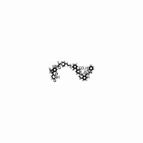 Cc1c(OCCCC2CCN([C@H](C)C(=O)Nc3ccc4c(C5CCC(=O)NC5=O)nn(C)c4c3)CC2)cccc1-c1ccc(N2CCc3cccc(C(=O)Nc4nc5ccccc5s4)c3C2)nc1C(=O)O